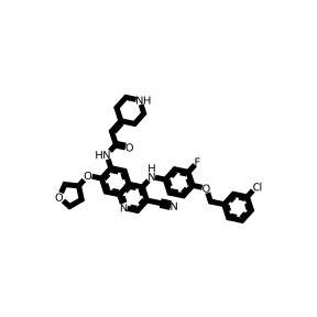 N#Cc1cnc2cc(OC3CCOC3)c(NC(=O)C=C3CCNCC3)cc2c1Nc1ccc(OCc2cccc(Cl)c2)c(F)c1